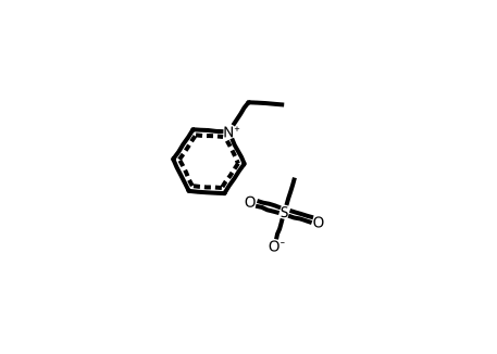 CC[n+]1ccccc1.CS(=O)(=O)[O-]